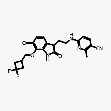 Cc1nc(NCCC2C(=O)Nc3c2ccc(Cl)c3OCC2CC(F)(F)C2)ccc1C#N